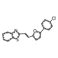 Clc1ccc(-c2ccc(/C=C/c3nc4ccccc4s3)o2)cc1